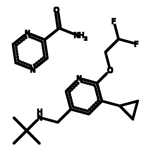 CC(C)(C)NCc1cnc(OCC(F)F)c(C2CC2)c1.NC(=O)c1cnccn1